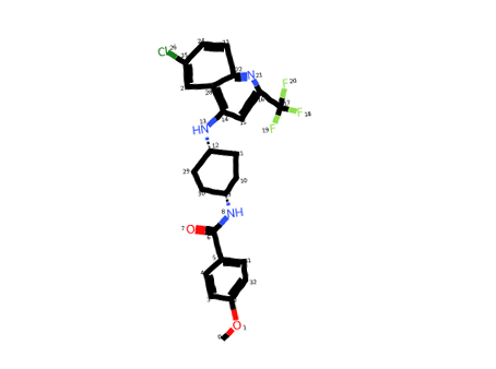 COc1ccc(C(=O)N[C@H]2CC[C@@H](Nc3cc(C(F)(F)F)nc4ccc(Cl)cc34)CC2)cc1